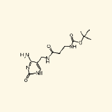 CC(C)(C)OC(=O)NCCC(=O)NCc1c[nH]c(=O)nc1N